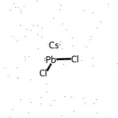 [Cl][Pb][Cl].[Cs]